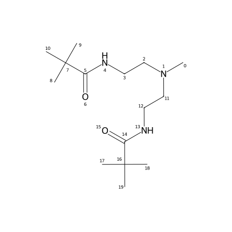 CN(CCNC(=O)C(C)(C)C)CCNC(=O)C(C)(C)C